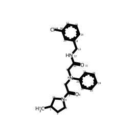 CC1CCN(C(=O)CN(CC(=O)NCc2cccc(Cl)c2)c2ccccc2)C1